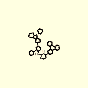 C1=NC(Nc2ccc(-c3ccc4c(c3)c3ccccc3n4-c3ccccc3)cc2-c2ccccc2)NC(c2ccc3c4ccccc4c4ccccc4c3c2)=C1